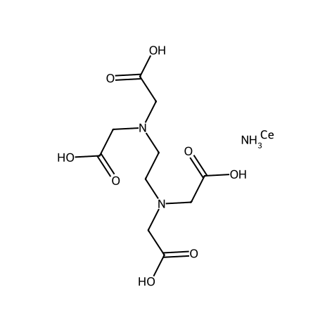 N.O=C(O)CN(CCN(CC(=O)O)CC(=O)O)CC(=O)O.[Ce]